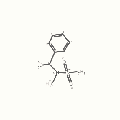 CC(c1ccccc1)N(C)S(C)(=O)=O